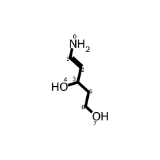 NC=CC(O)CCO